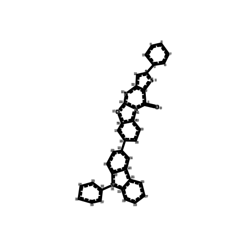 O=c1c2sc(-c3ccccc3)cc2nc2oc3cc(-c4ccc5c(c4)c4ccccc4n5-c4ccccc4)ccc3n12